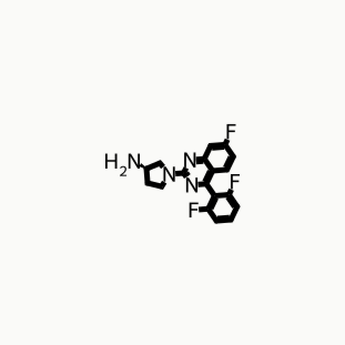 N[C@@H]1CCN(c2nc(-c3c(F)cccc3F)c3ccc(F)cc3n2)C1